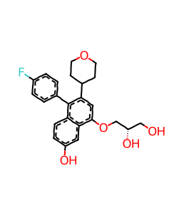 OC[C@H](O)COc1cc(C2CCOCC2)c(-c2ccc(F)cc2)c2ccc(O)cc12